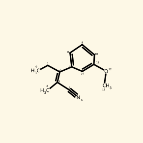 CCC(=C(C)C#N)c1cccc(OC)c1